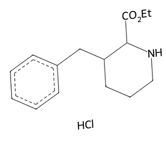 CCOC(=O)C1NCCCC1Cc1ccccc1.Cl